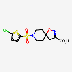 O=C(O)C1=NOC2(CCN(S(=O)(=O)c3ccc(Cl)s3)CC2)C1